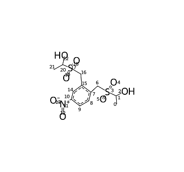 CC(O)S(=O)(=O)Cc1ccc([N+](=O)[O-])cc1CS(=O)(=O)C(C)O